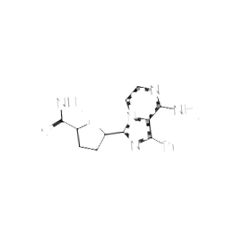 NC(=O)C1CCC(c2nc(Br)c3c(N)nccn23)O1